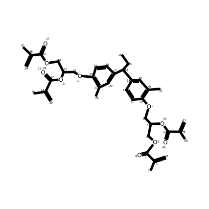 C=C(C)C(=O)OCC(COc1ccc(C(CC)c2ccc(OCC(COC(=O)C(=C)C)OC(=O)C(=C)C)c(C)c2)cc1C)OC(=O)C(=C)C